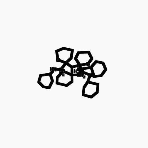 C1CCC(N[SiH2]C2(C(C3([SiH2]NC4CCCCC4)CCCCO3)C3([SiH2]NC4CCCCC4)CCCCO3)CCCCO2)CC1